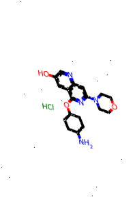 Cl.NC1CCC(Oc2nc(N3CCOCC3)cc3ncc(O)cc23)CC1